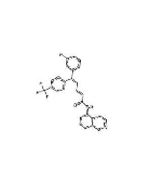 O=C(/C=C/C=C(\c1ccc(C(F)(F)F)cc1)c1cccc(F)c1)Nc1cccc2cnccc12